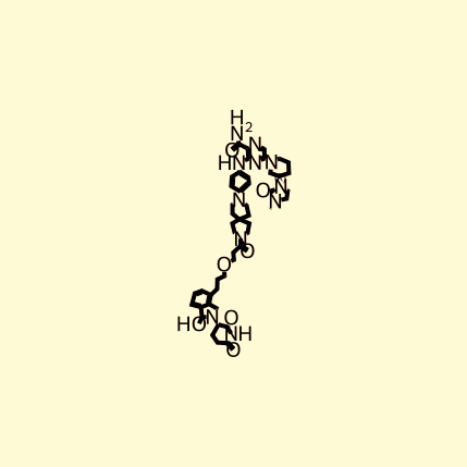 CN1CCN([C@@H]2CCCN(c3cnc(C(N)=O)c(Nc4ccc(N5CCC6(CCN(C(=O)CCOCCCc7cccc8c7CN(C7CCC(=O)NC7=O)C8O)CC6)CC5)cc4)n3)C2)C1=O